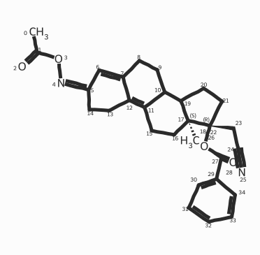 CC(=O)ON=C1C=C2CCC3C(=C2CC1)CC[C@@]1(C)C3CC[C@]1(CC#N)OC(=O)c1ccccc1